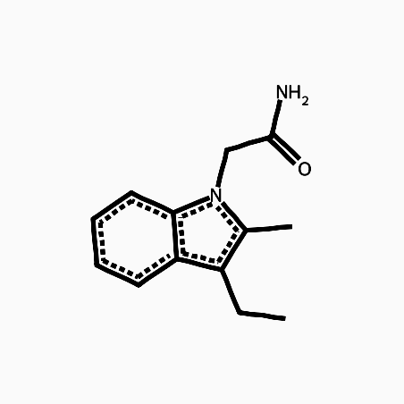 CCc1c(C)n(CC(N)=O)c2ccccc12